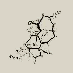 CCC[C@@H](C)[C@H]1CC[C@H]2[C@@H]3CCC4C[C@H](OC(C)=O)CC(Cl)[C@]4(C)[C@H]3CC[C@]12C